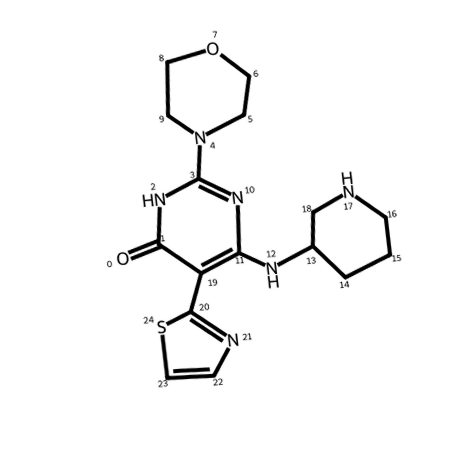 O=c1[nH]c(N2CCOCC2)nc(NC2CCCNC2)c1-c1nccs1